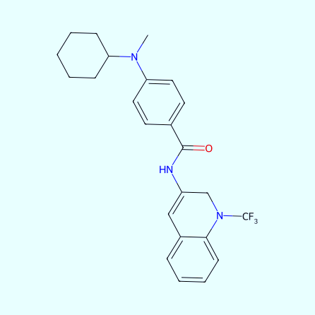 CN(c1ccc(C(=O)NC2=Cc3ccccc3N(C(F)(F)F)C2)cc1)C1CCCCC1